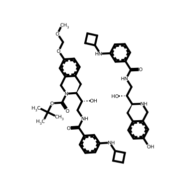 COCOc1ccc2c(c1)CN(C(=O)OC(C)(C)C)[C@H]([C@H](O)CNC(=O)c1cccc(NC3CCC3)c1)C2.O=C(NC[C@@H](O)[C@@H]1Cc2ccc(O)cc2CN1)c1cccc(NC2CCC2)c1